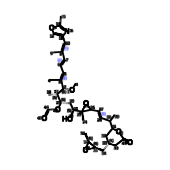 CO[C@@H](/C(C)=C/C=C/C(C)=C/c1coc(C)n1)[C@@H](C)[C@H](C[C@H](O)[C@]1(C)OC1/C=C/C(C)C1C[C@@H](C[C@H]2O[C@H]2C)CC(=O)O1)OC=O